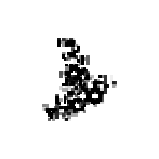 C=Cc1c(F)ccc(N2CC[C@](NC(=O)OC(C)(C)C)(C(=O)NC3CC3)C2)c1Cn1cnc2c(NC(=O)OC(C)(C)C)ncnc21